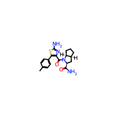 Cc1ccc(-c2sc(N)nc2C(=O)N2[C@H](C(N)=O)C[C@@H]3CCC[C@@H]32)cc1